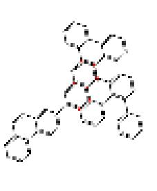 c1ccc(-c2ccccc2-c2c(-c3ccccc3)cccc2N(c2ccc(-c3ccc4c(ccc5ccccc54)c3)cc2)c2cc3ccccc3c3ccccc23)cc1